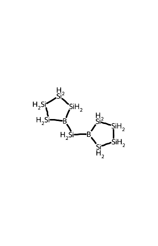 [SiH2]1[SiH2][SiH2]B([SiH2]B2[SiH2][SiH2][SiH2][SiH2]2)[SiH2]1